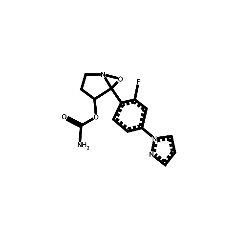 NC(=O)OC1CCN2OC12c1ccc(-n2cccn2)cc1F